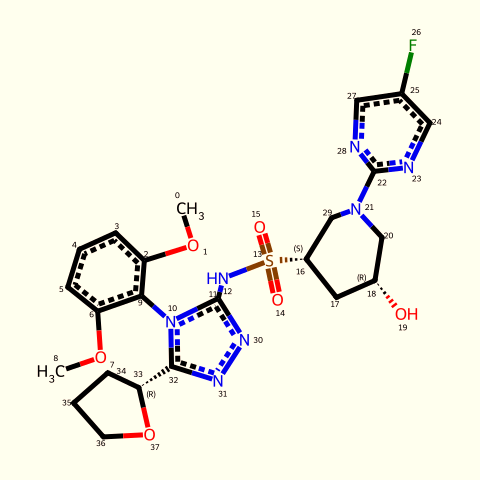 COc1cccc(OC)c1-n1c(NS(=O)(=O)[C@H]2C[C@@H](O)CN(c3ncc(F)cn3)C2)nnc1[C@H]1CCCO1